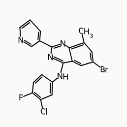 Cc1cc(Br)cc2c(Nc3ccc(F)c(Cl)c3)nc(-c3cccnc3)nc12